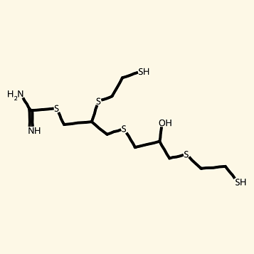 N=C(N)SCC(CSCC(O)CSCCS)SCCS